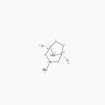 CC(C)(C)N1C[C@H]2CC[C@@H](C1)N2